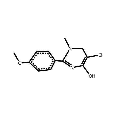 COc1ccc(C2=NC(O)=C(Cl)CN2C)cc1